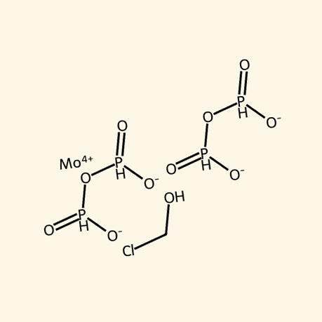 O=[PH]([O-])O[PH](=O)[O-].O=[PH]([O-])O[PH](=O)[O-].OCCl.[Mo+4]